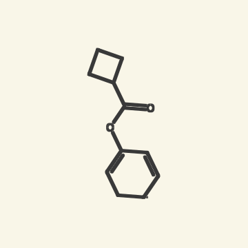 O=C(OC1=CC[CH]C=C1)C1CCC1